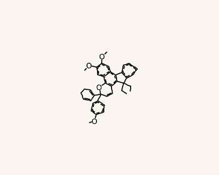 CCC1(CC)c2ccccc2-c2c1c1c(c3cc(OC)c(OC)cc23)OC(C2=CCCC=C2)(c2ccc(OC)cc2)C=C1